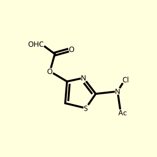 CC(=O)N(Cl)c1nc(OC(=O)C=O)cs1